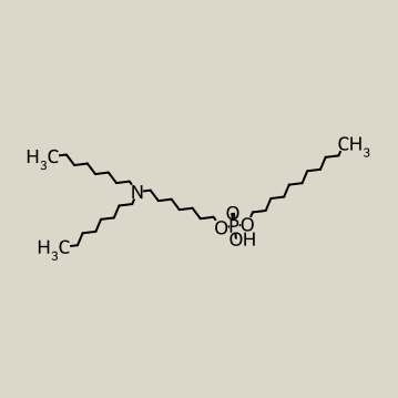 CCCCCCCCCCCOP(=O)(O)OCCCCCCCN(CCCCCCCC)CCCCCCCC